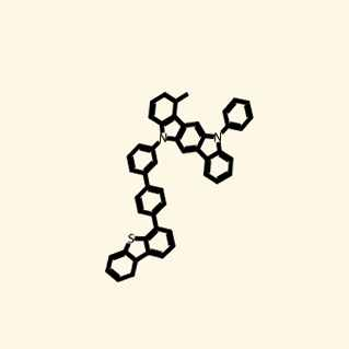 CC1CC=Cc2c1c1cc3c(cc1n2-c1cccc(-c2ccc(-c4cccc5c4SC4=CC=CCC45)cc2)c1)c1ccccc1n3-c1ccccc1